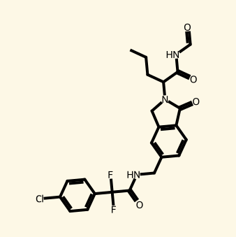 CCCC(C(=O)NC=O)N1Cc2cc(CNC(=O)C(F)(F)c3ccc(Cl)cc3)ccc2C1=O